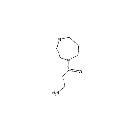 NCCC(=O)N1CCC[N]CC1